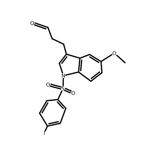 COc1ccc2c(c1)c(CCC=O)cn2S(=O)(=O)c1ccc(I)cc1